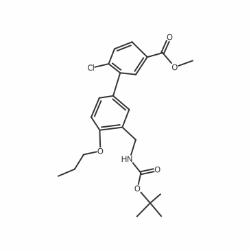 CCCOc1ccc(-c2cc(C(=O)OC)ccc2Cl)cc1CNC(=O)OC(C)(C)C